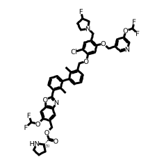 Cc1c(COc2cc(OCc3cncc(OC(F)F)c3)c(CN3CCC(F)C3)cc2Cl)cccc1-c1cccc(-c2nc3cc(COC(=O)[C@@H]4CCCN4)c(OC(F)F)cc3o2)c1C